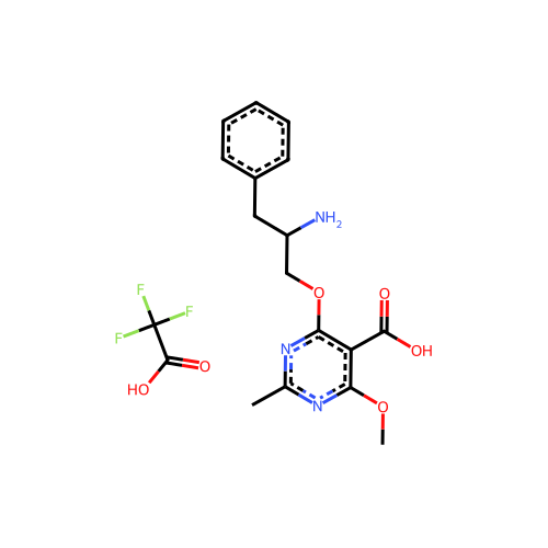 COc1nc(C)nc(OCC(N)Cc2ccccc2)c1C(=O)O.O=C(O)C(F)(F)F